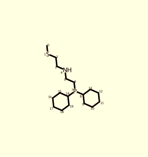 CSCCNCCP(C1CCCCC1)C1CCCCC1